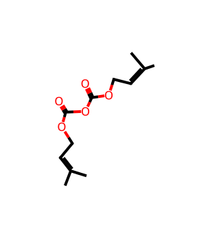 CC(C)=CCOC(=O)OC(=O)OCC=C(C)C